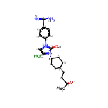 COC(=O)CC[C@H]1CC[C@H](n2ccn(-c3ccc(C(=N)N)cc3)c2=O)CC1.Cl